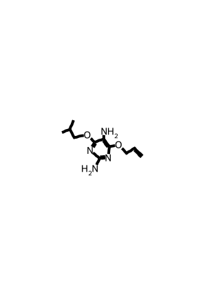 C=CCOc1nc(N)nc(OCC(C)C)c1N